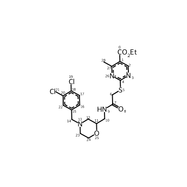 CCOC(=O)c1cnc(SCC(=O)NCC2CN(Cc3ccc(Cl)c(Cl)c3)CCO2)nc1C